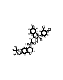 CN(Cc1ccc2c(c1)OCC[C@H]2NC(=O)C[C@@H](NS(=O)(=O)c1ccc(Cl)c(Cl)c1)c1ccc(F)cc1)C(C)(C)C